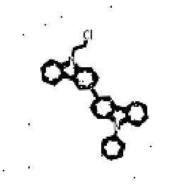 ClCCn1c2ccccc2c2cc(-c3ccc4c(c3)c3ccccc3n4-c3ccccc3)ccc21